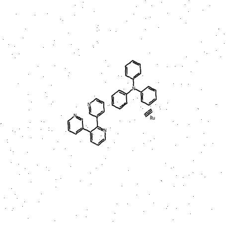 C#C.[Ru].c1ccc(N(c2ccccc2)c2ccccc2)cc1.c1cncc(-c2cccnc2-c2cccnc2)c1